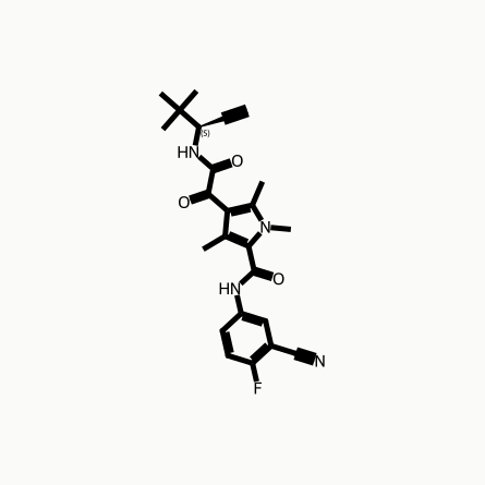 C#C[C@@H](NC(=O)C(=O)c1c(C)c(C(=O)Nc2ccc(F)c(C#N)c2)n(C)c1C)C(C)(C)C